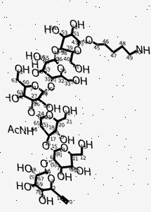 C#CC1O[C@@H](O[C@H]2C(O)[C@@H](O)C(CO)O[C@H]2OC2[C@@H](O)C(CO)O[C@@H](O[C@@H]3C(O)[C@@H](O[C@H]4C(CO)O[C@@H](O[C@@H]5C(CO)O[C@@H](OCCCCCN)C(O)C5O)[C@@H](O)C4O)OC(CO)[C@@H]3O)[C@H]2NC(C)=O)[C@@H](O)C(O)[C@@H]1O